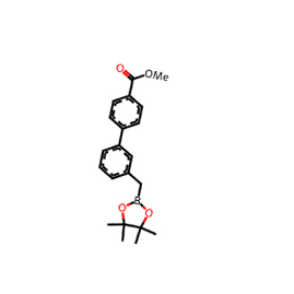 COC(=O)c1ccc(-c2cccc(CB3OC(C)(C)C(C)(C)O3)c2)cc1